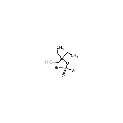 CC[Si](CC)(CC)OP(=O)(Br)Br